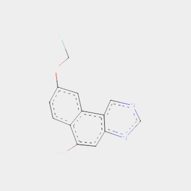 Oc1cc2ncncc2c2cc(OCF)ccc12